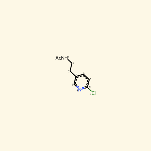 CC(=O)NCCc1ccc(Cl)nc1